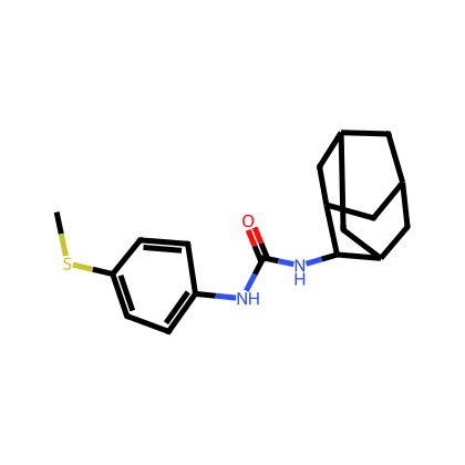 CSc1ccc(NC(=O)NC2C3CC4CC(C3)CC2C4)cc1